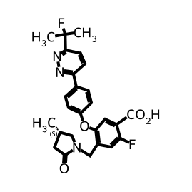 C[C@H]1CC(=O)N(Cc2cc(F)c(C(=O)O)cc2Oc2ccc(-c3ccc(C(C)(C)F)nn3)cc2)C1